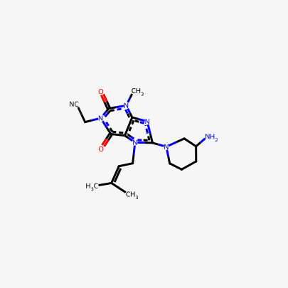 CC(C)=CCn1c(N2CCCC(N)C2)nc2c1c(=O)n(CC#N)c(=O)n2C